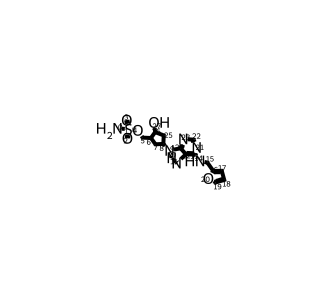 NS(=O)(=O)OCC1CC(n2nnc3c(NCc4ccco4)ncnc32)CC1O